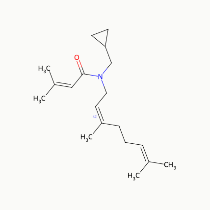 CC(C)=CCC/C(C)=C\CN(CC1CC1)C(=O)C=C(C)C